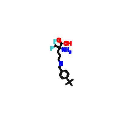 CC(C)(C)c1ccc(/C=N/CCCC(N)(C(=O)O)C(F)F)cc1